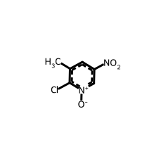 Cc1cc([N+](=O)[O-])c[n+]([O-])c1Cl